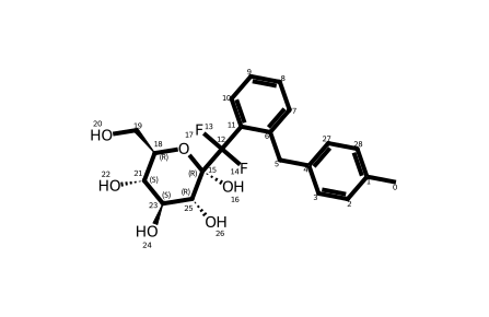 Cc1ccc(Cc2ccccc2C(F)(F)[C@]2(O)O[C@H](CO)[C@@H](O)[C@H](O)[C@H]2O)cc1